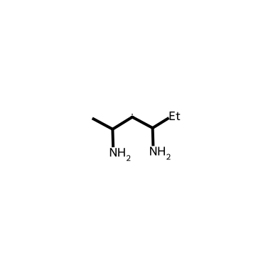 CCC(N)[CH]C(C)N